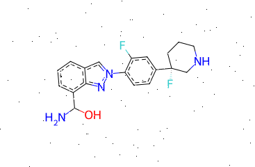 NC(O)c1cccc2cn(-c3ccc([C@@]4(F)CCCNC4)cc3F)nc12